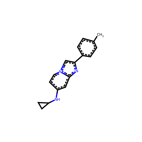 Cc1ccc(-c2cn3ccc(NC4CC4)cc3n2)cc1